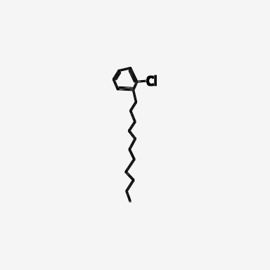 CCCCCCCCCCCc1ccccc1Cl